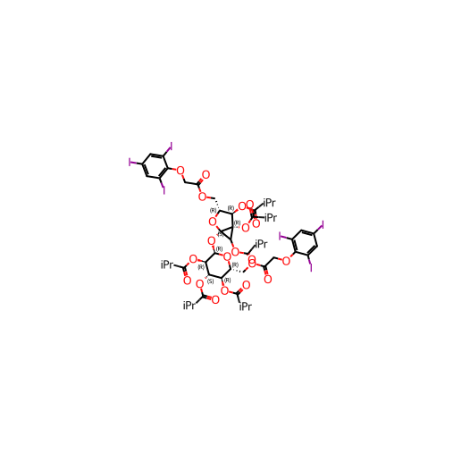 CC(C)C(=O)OC1[C@@]2(O[C@H]3O[C@H](COC(=O)COc4c(I)cc(I)cc4I)[C@@H](OC(=O)C(C)C)[C@H](OC(=O)C(C)C)[C@H]3OC(=O)C(C)C)O[C@H](COC(=O)COc3c(I)cc(I)cc3I)[C@@H](OC(=O)C(C)C)[C@@]12OC(=O)C(C)C